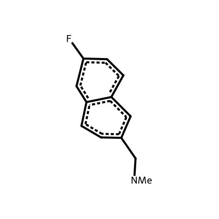 CNCc1ccc2cc(F)ccc2c1